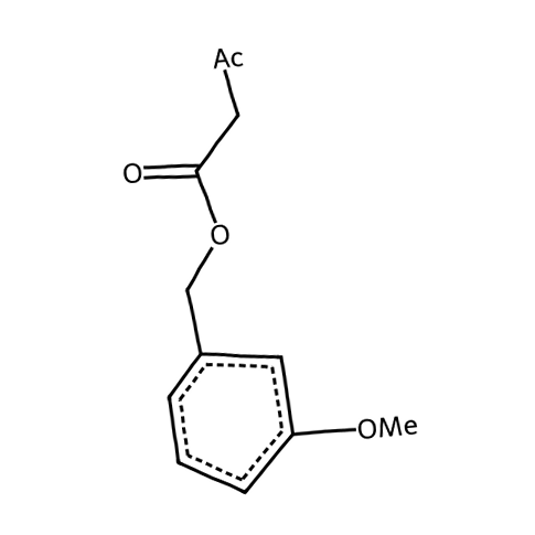 COc1cccc(COC(=O)CC(C)=O)c1